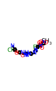 CN1C(=O)CCC(N2C(=O)c3cc(F)c(N4CCN(CC5CCN(c6ccc(C(=O)NC7CCC(Oc8ccc(C#N)c(Cl)c8)CC7)nn6)CC5)CC4)cc3C2=O)C1=O